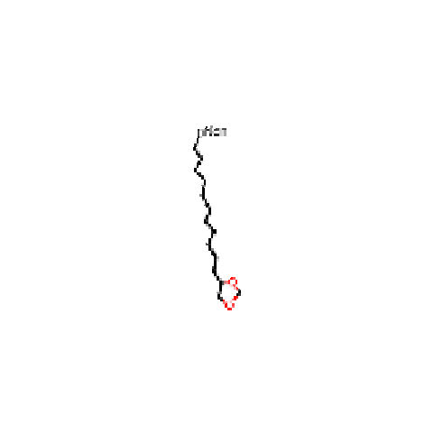 CCCCCCCCCCCCCCCCCCCCC1COCO1